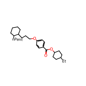 CCCCCC1CCCCC1CCCOc1ccc(C(=O)OC2CCC(CC)CC2)cc1